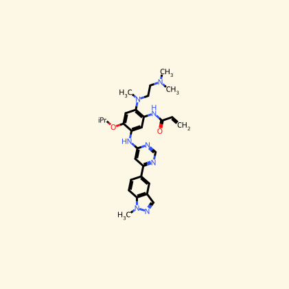 C=CC(=O)Nc1cc(Nc2cc(-c3ccc4c(cnn4C)c3)ncn2)c(OC(C)C)cc1N(C)CCN(C)C